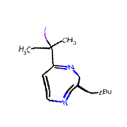 CC(C)(C)c1nccc(C(C)(C)I)n1